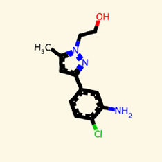 Cc1cc(-c2ccc(Cl)c(N)c2)nn1CCO